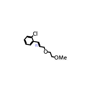 COCCOC/C=C/c1ccccc1Cl